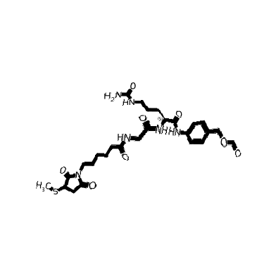 CSC1CC(=O)N(CCCCCC(=O)NCC(=O)N[C@@H](CCCNC(N)=O)C(=O)Nc2ccc(COC=O)cc2)C1=O